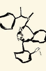 CC(c1ccccc1)N(C)c1nnc(-c2ccccc2C(F)(F)F)c2ccccc12